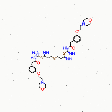 N=C(CCSCCC(=N)SC(N)NC(=O)Cc1cccc(OCCN2CCOCC2)c1)SC(=N)NC(=O)Cc1cccc(OCCN2CCOCC2)c1